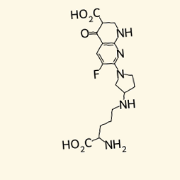 NC(CCCNC1CCN(c2nc3c(cc2F)C(=O)C(C(=O)O)CN3)C1)C(=O)O